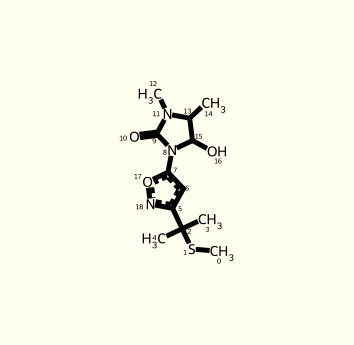 CSC(C)(C)c1cc(N2C(=O)N(C)C(C)C2O)on1